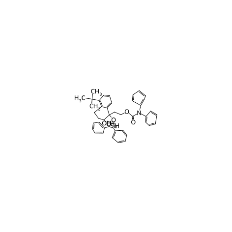 CC(C)(C)c1cccc2c1CCC(C)(O)C2(CCOC(=O)N(c1ccccc1)c1ccccc1)O[SiH](c1ccccc1)c1ccccc1